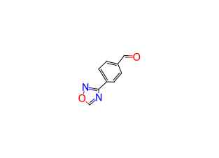 O=Cc1ccc(-c2ncon2)cc1